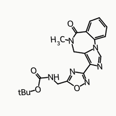 CN1Cc2c(-c3noc(CNC(=O)OC(C)(C)C)n3)ncn2-c2ccccc2C1=O